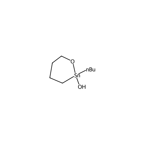 CCC[CH2][Sn]1([OH])[CH2]CCC[O]1